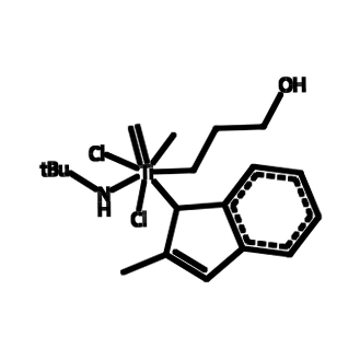 [CH2]=[Ti]([CH3])([Cl])([Cl])([CH2]CCO)([NH]C(C)(C)C)[CH]1C(C)=Cc2ccccc21